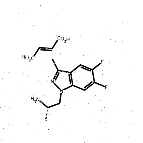 Cc1nn(C[C@H](C)N)c2cc(F)c(F)cc12.O=C(O)/C=C/C(=O)O